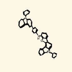 c1ccc(-n2c3ccccc3c3cc(-c4ccc(Nc5cccc6c5oc5c6ccc6c5c5ccccc5n6-c5ccccc5)cc4)ccc32)cc1